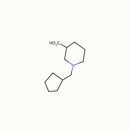 O=C(O)C1CCCN(CC2CCCC2)C1